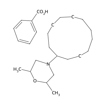 CC1CN(C2CCCCCCCCCCC2)CC(C)O1.O=C(O)c1ccccc1